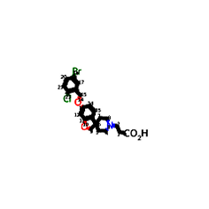 O=C(O)CCN1CCC2(CC1)COc1cc(OCc3cc(Br)ccc3Cl)ccc12